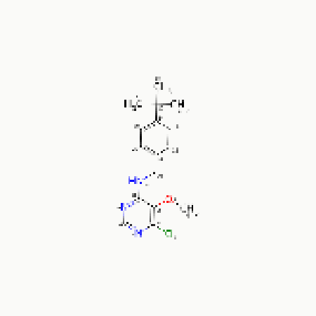 COc1c(Cl)ncnc1NCc1ccc(C(C)(C)C)cc1